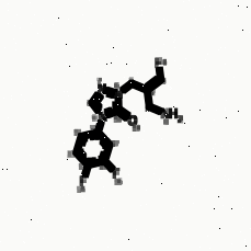 NC/C(=C/F)Cn1ncn(-c2ccc(F)c(F)c2)c1=O